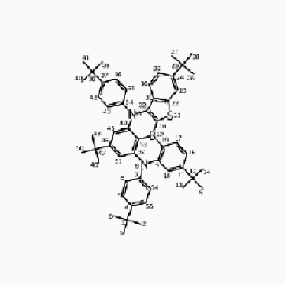 CC(C)(C)c1ccc(N2c3cc(C(C)(C)C)ccc3B3c4sc5cc(C(C)(C)C)ccc5c4N(c4ccc(C(C)(C)C)cc4)c4cc(C(C)(C)C)cc2c43)cc1